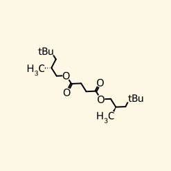 C[C@@H](COC(=O)CCC(=O)OC[C@H](C)CC(C)(C)C)CC(C)(C)C